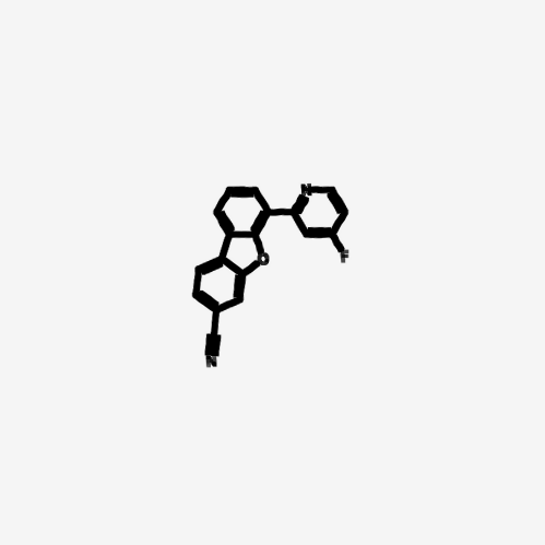 N#Cc1ccc2c(c1)oc1c(-c3cc(F)ccn3)cccc12